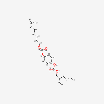 CCCCC(CC)COC(=O)OC1CCC(OC(=O)OCCCCCCC(C)C)CC1